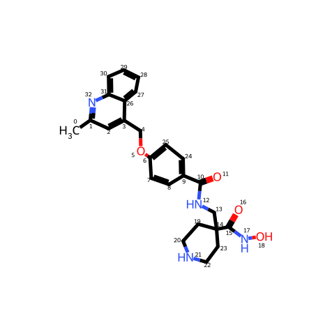 Cc1cc(COc2ccc(C(=O)NCC3(C(=O)NO)CCNCC3)cc2)c2ccccc2n1